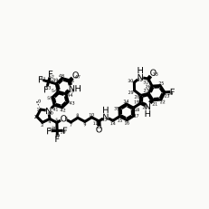 C[C@H]1CCC(C(OCCCCC(=O)NCc2ccc(-c3[nH]c4cc(F)cc5c4c3CCNC5=O)cc2)C(F)(F)F)N1c1ccc2[nH]c(=O)cc(C(F)(F)F)c2c1